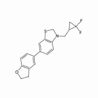 FC1(F)CC1CN1CSc2cc(-c3ccc4c(c3)CCO4)ccc21